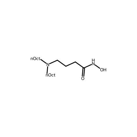 CCCCCCCCN(CCCCCCCC)CCCC(=O)NO